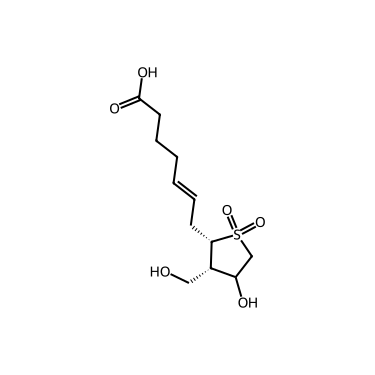 O=C(O)CCCC=CC[C@H]1[C@@H](CO)C(O)CS1(=O)=O